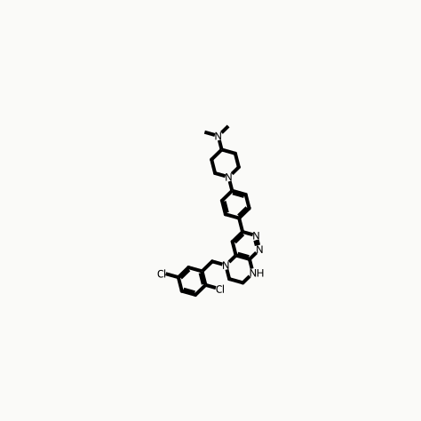 CN(C)C1CCN(c2ccc(-c3cc4c(nn3)NCCN4Cc3cc(Cl)ccc3Cl)cc2)CC1